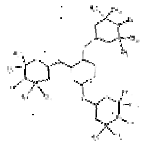 CCN1C(C)(C)CC(OC2CCC(OC3CC(C)(C)N(CC)C(C)(C)C3)C(OC3CC(C)(C)N(CC)C(C)(C)C3)C2)CC1(C)C